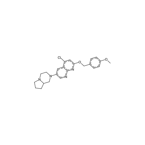 COc1ccc(COc2cc(Cl)c3cc(N4CCN5CCCC5C4)cnc3n2)cc1